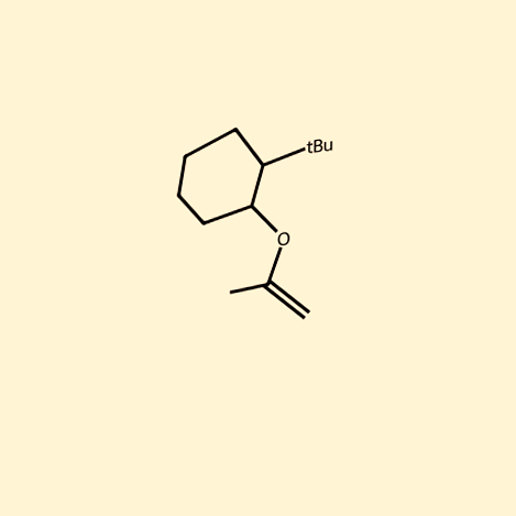 C=C(C)OC1CCCCC1C(C)(C)C